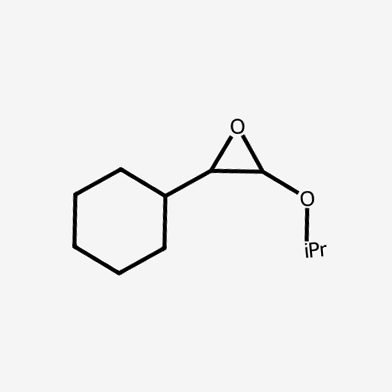 CC(C)OC1OC1C1CCCCC1